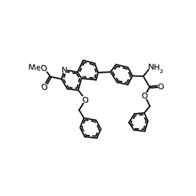 COC(=O)c1cc(OCc2ccccc2)c2cc(-c3ccc(C(N)C(=O)OCc4ccccc4)cc3)ccc2n1